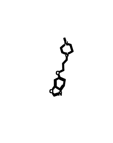 CN1CCN(CCCOc2ccc3ncoc3c2)CC1